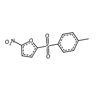 Cc1ccc(S(=O)(=O)c2ccc([N+](=O)[O-])o2)cc1